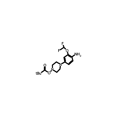 CC(C)(C)C(=O)ON1CCN(c2ccc(N)c(OC(F)F)c2)CC1